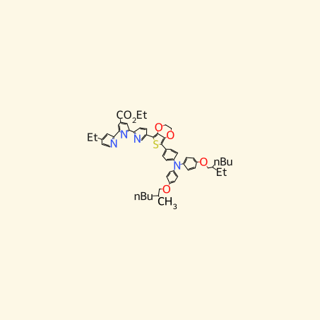 CCCCC(C)COc1ccc(N(c2ccc(OCC(CC)CCCC)cc2)c2ccc(-c3sc(-c4ccc(-c5cc(C(=O)OCC)cc(-c6cc(CC)ccn6)n5)nc4)c4c3OCCO4)cc2)cc1